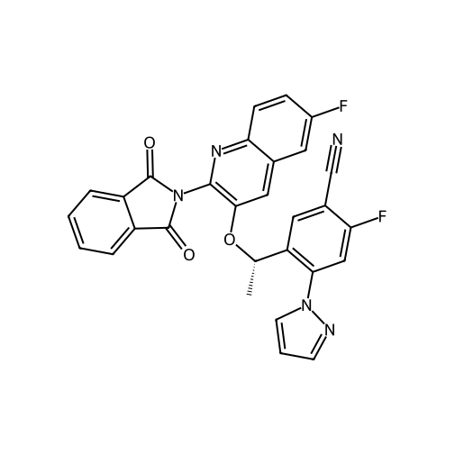 C[C@H](Oc1cc2cc(F)ccc2nc1N1C(=O)c2ccccc2C1=O)c1cc(C#N)c(F)cc1-n1cccn1